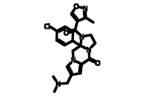 Cc1nocc1C(=O)N1CCN2C(=O)c3cc(CN(C)C)cn3CC12C1C=CC(Cl)=CC1